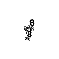 O=C(NS(=O)(=O)c1ccc2ccccc2c1)C(Cc1ccc([N+](=O)[O-])cc1)C(=O)N1CCOCC1